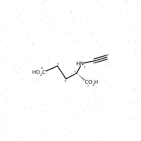 C#CN[C@@H](CCC(=O)O)C(=O)O